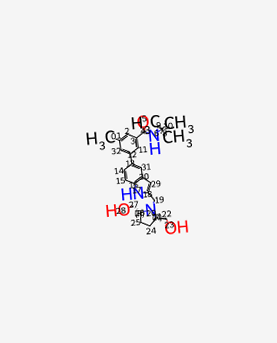 Cc1cc(C(=O)NC(C)(C)C)cc(-c2ccc3[nH]c(CN4[C@@H](CO)CC[C@@H]4CO)cc3c2)c1